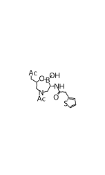 CC(=O)CC1CN(C(C)=O)C[C@H](NC(=O)Cc2cccs2)B(O)O1